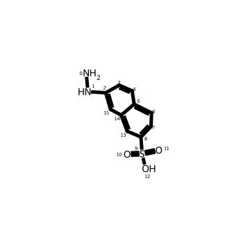 NNc1ccc2ccc(S(=O)(=O)O)cc2c1